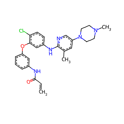 C=CC(=O)Nc1cccc(Oc2cc(Nc3ncc(N4CCN(C)CC4)cc3C)ccc2Cl)c1